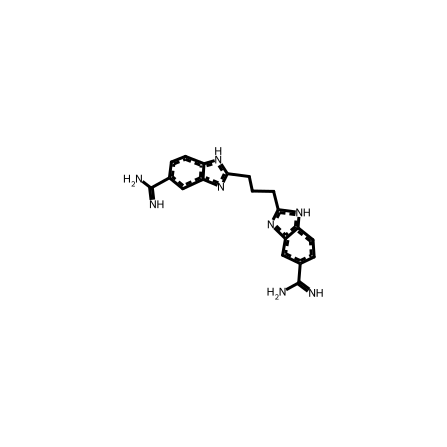 N=C(N)c1ccc2[nH]c(CCCc3nc4cc(C(=N)N)ccc4[nH]3)nc2c1